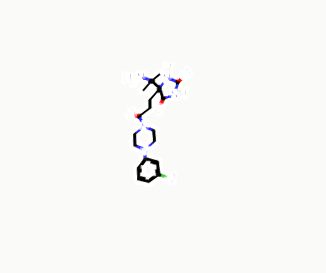 CC(C)(N)C1(CCC(=O)N2CCN(c3cccc(Cl)c3)CC2)NC(=O)NC1=O